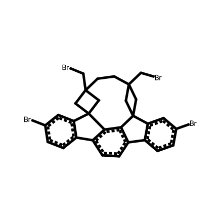 BrCC12CCC3(CBr)CC4(C3)c3cc(Br)ccc3-c3ccc5c(c34)C(C1)(C2)c1cc(Br)ccc1-5